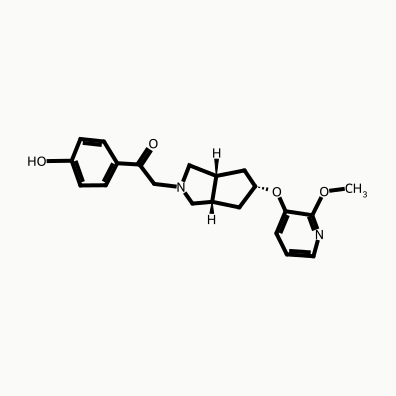 COc1ncccc1O[C@@H]1C[C@@H]2CN(CC(=O)c3ccc(O)cc3)C[C@@H]2C1